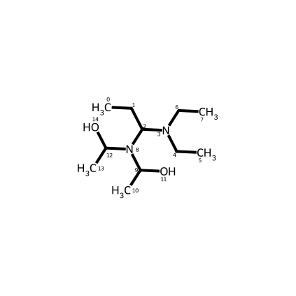 CCC(N(CC)CC)N(C(C)O)C(C)O